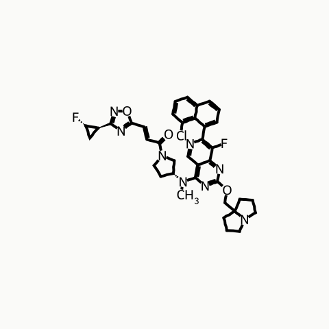 CN(c1nc(OCC23CCCN2CCC3)nc2c(F)c(-c3cccc4cccc(Cl)c34)ncc12)[C@@H]1CCN(C(=O)/C=C/c2nc([C@H]3C[C@@H]3F)no2)C1